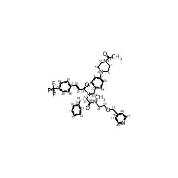 CC(=O)N1CCN(c2ccc(CN(C(=O)/C=C/c3ccc(C(F)(F)F)cc3)[C@@H](Cc3ccccc3)C(=O)N(C)CCOCc3ccncc3)cc2)CC1